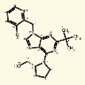 CC(C)(C)c1nc(N2CCC[C@@H]2CO)c2ncn(Cc3ncccc3Cl)c2n1